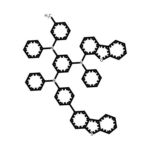 Cc1cccc(N(c2ccccc2)c2cc(N(c3ccccc3)c3ccc(-c4ccc5sc6ccccc6c5c4)cc3)cc(N(c3ccccc3)c3cccc4c3oc3ccccc34)c2)c1